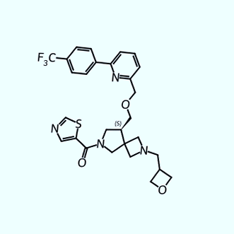 O=C(c1cncs1)N1C[C@@H](COCc2cccc(-c3ccc(C(F)(F)F)cc3)n2)C2(CN(CC3COC3)C2)C1